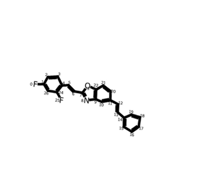 Fc1ccc(C=Cc2nc3cc(C=Cc4ccccc4)ccc3o2)c(F)c1